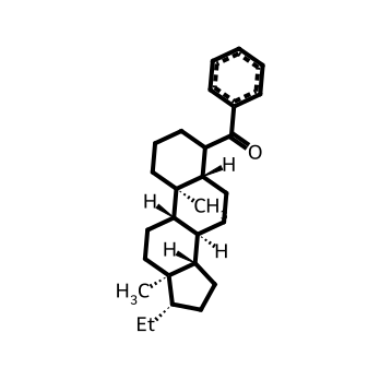 CC[C@H]1CC[C@H]2[C@@H]3CC[C@H]4C(C(=O)c5ccccc5)CCC[C@]4(C)[C@H]3CC[C@]12C